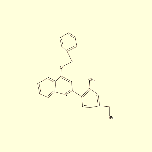 Cc1cc(CC(C)(C)C)ccc1-c1cc(OCc2ccccc2)c2ccccc2n1